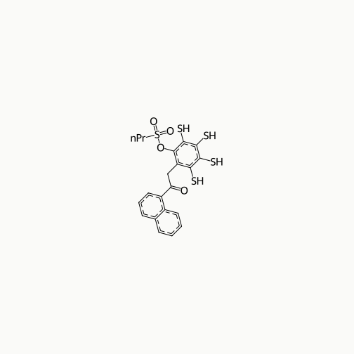 CCCS(=O)(=O)Oc1c(S)c(S)c(S)c(S)c1CC(=O)c1cccc2ccccc12